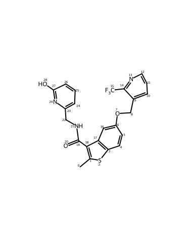 Cc1sc2ccc(OCc3cccnc3C(F)(F)F)cc2c1C(=O)NCc1cccc(O)n1